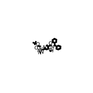 COc1cc(-c2nnnn2CC(=O)OC(C)(C)C)ncc1C(=O)NC(c1ccccc1)c1ccccc1